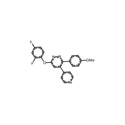 COc1ccc(-c2nnc(Oc3ccc(F)cc3F)cc2-c2ccncc2)cc1